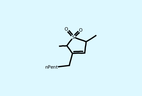 CCCCCCC1=CC(C)S(=O)(=O)C1C